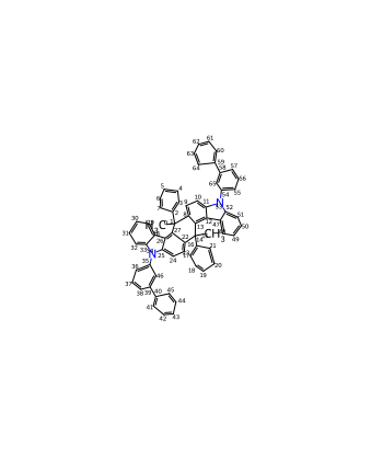 CC1(c2ccccc2)c2ccc3c(c2C(C)(c2ccccc2)c2ccc4c(c21)c1ccccc1n4-c1cccc(-c2ccccc2)c1)c1ccccc1n3-c1cccc(-c2ccccc2)c1